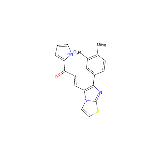 COc1ccc(-c2nc3sccn3c2/C=C/C(=O)c2ccc[nH]2)cc1[N+](=O)[O-]